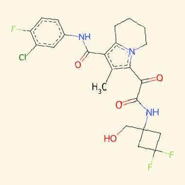 Cc1c(C(=O)Nc2ccc(F)c(Cl)c2)c2n(c1C(=O)C(=O)NC1(CO)CC(F)(F)C1)CCCC2